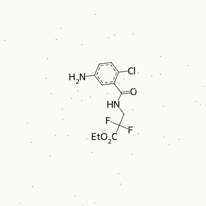 CCOC(=O)C(F)(F)CNC(=O)c1cc(N)ccc1Cl